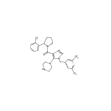 O=C(c1nnn(Cc2cc(C(F)(F)F)cc(C(F)(F)F)c2)c1N1CCNCC1)N1CCCC1c1ccccc1Cl